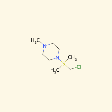 CN1CCN(S(C)(C)CCl)CC1